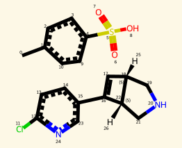 Cc1ccc(S(=O)(=O)O)cc1.Clc1ccc(C2=C[C@@H]3CNC[C@H]23)cn1